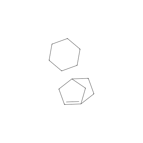 C1=C2CCC(C1)C2.C1CCCCC1